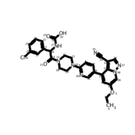 CCOc1cc(-c2ccc(N3CCN(C(=O)C(NC(=O)O)c4cccc(Cl)c4)CC3)nc2)c2c(C#N)cnn2c1